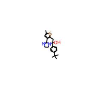 Cc1cc2c(s1)CC(O)(c1ccc(C(C)(C)C)cc1)N1CCN=C21